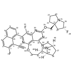 C#Cc1c(F)ccc2cccc(-c3nc4c5c(nc(OC[C@@]67CCCN6C[C@H](F)C7)nc5c3F)N3C[C@H]5CC[C@H](N5)[C@H]3CCO4)c12